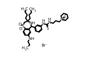 CCCCC1(CCCC)CS(=O)(=O)c2ccc(NCCC)cc2C(c2cccc(NC(=S)NCCC[N+]34CCC(CC3)CC4)c2)N1.[Br-]